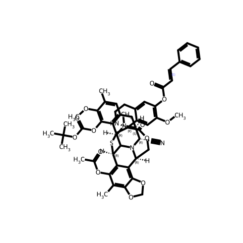 COc1cc2c(cc1OC(=O)/C=C/c1ccccc1)CCN[C@]21CS[C@@H]2c3c(OC(C)=O)c(C)c4c(c3[C@H](COC1=O)N1C2[C@H]2c3c(cc(C)c(OC)c3OC(=O)OC(C)(C)C)C[C@@H]([C@@H]1C#N)N2C)OCO4